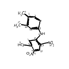 Cc1ccc(Nc2cc(O)c([N+](=O)[O-])cc2[N+](=O)[O-])cc1C